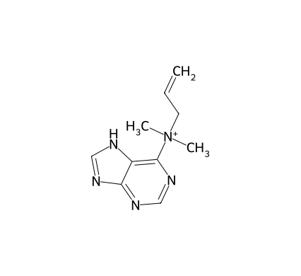 C=CC[N+](C)(C)c1ncnc2nc[nH]c12